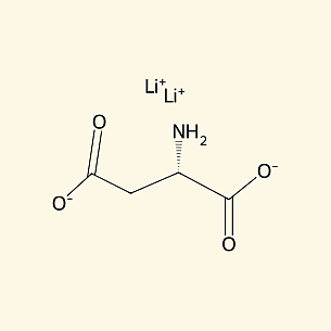 N[C@@H](CC(=O)[O-])C(=O)[O-].[Li+].[Li+]